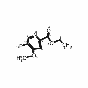 CCOC(=O)c1cc(OC)c(F)cn1